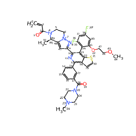 C=CC(=O)N1CCn2nc(-c3nc(-c4cccc(C(=O)N5CCN(C)CC5)c4)c4ccsc4c3-c3c(F)cc(F)cc3OCCOC)cc2[C@H]1C